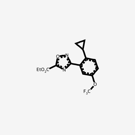 CCOC(=O)c1nc(-c2cc(OC(F)(F)F)ccc2C2CC2)no1